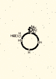 C[C](=O)[Ti]([CH3])([CH3])([CH3])([C](C)=O)([C](C)=O)([C](C)=O)[N]1CCCNCCCNCCCNCCC1.Cl.Cl.Cl